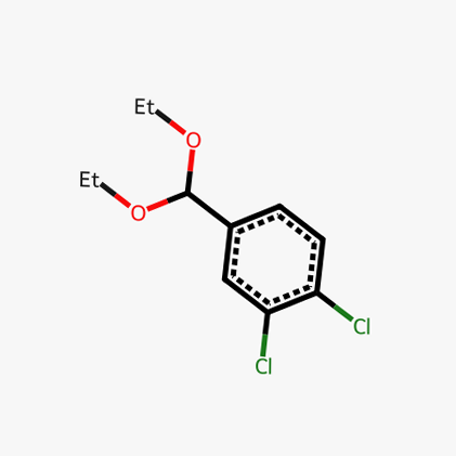 CCOC(OCC)c1ccc(Cl)c(Cl)c1